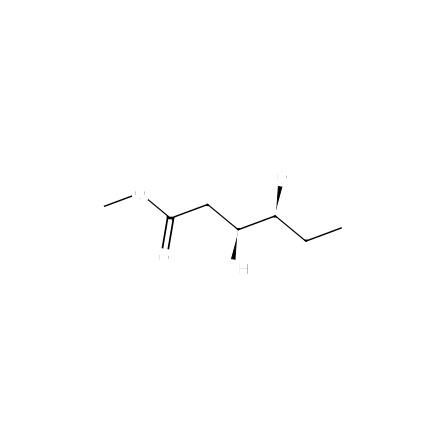 CC[C@H](O)[C@@H](O)CC(=O)OC